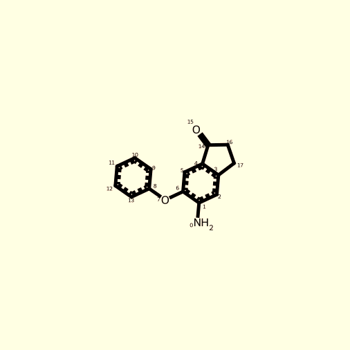 Nc1cc2c(cc1Oc1ccccc1)C(=O)CC2